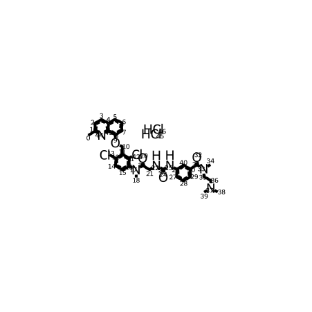 Cc1ccc2cccc(OCc3c(Cl)ccc(N(C)C(=O)CNC(=O)Nc4cccc(C(=O)N(C)CCN(C)C)c4)c3Cl)c2n1.Cl.Cl